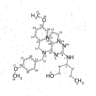 CCCC(CCO)Nc1nc(N(Cc2ccc(OC)cc2)Cc2ccc(OC)cc2)c2nccn2n1